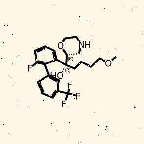 COCCCC[C@@](O)(c1cccc(F)c1-c1cccc(C(F)(F)F)c1)[C@H]1CNCCO1